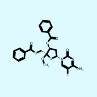 CO[C@]1(COC(=O)c2ccccc2)O[C@@H](n2cc(F)c(N)nc2=O)C[C@@H]1OC(=O)c1ccccc1